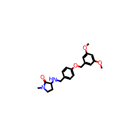 COc1cc(COc2ccc(CNC3CCN(C)C3=O)cc2)cc(OC)c1